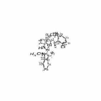 CC(C)Cc1c(C(=O)N[C@@H](CC(C)C)C(=O)NC(C(=O)CC(=O)c2c(Cl)cccc2Cl)C(=O)C(=O)O)n(C)c2ccccc12